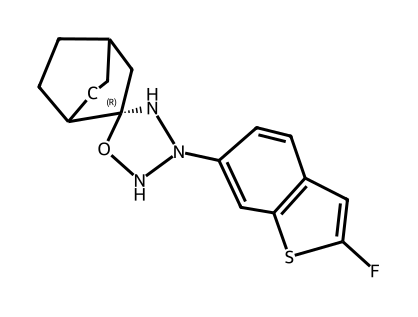 Fc1cc2ccc(N3NO[C@@]4(CC5CCC4CC5)N3)cc2s1